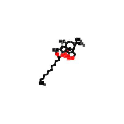 C=CCCCCCCCCCC(=O)OC1C(C)=CC23C(=O)CC(=C(CO)C(O)C12O)C1C(CC3C)C1(C)C